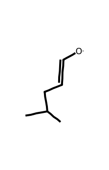 CC(C)CC=C[O]